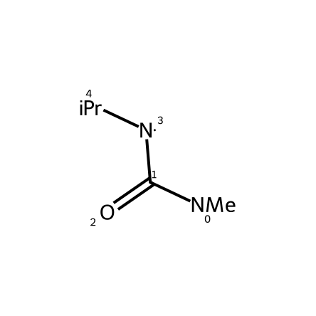 CNC(=O)[N]C(C)C